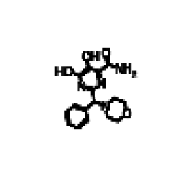 NC(=O)c1nc(C(c2ccccc2)N2CCOCC2)nc(O)c1O